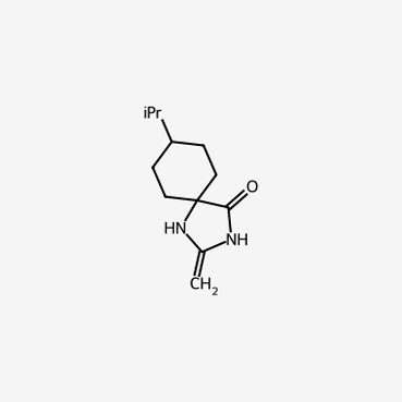 C=C1NC(=O)C2(CCC(C(C)C)CC2)N1